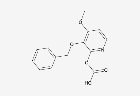 COc1ccnc(OC(=O)O)c1OCc1ccccc1